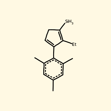 CCC1=C([SiH3])CC=C1c1c(C)cc(C)cc1C